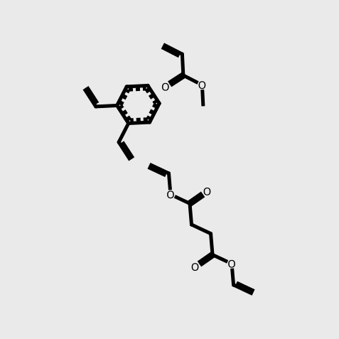 C=CC(=O)OC.C=COC(=O)CCC(=O)OC=C.C=Cc1ccccc1C=C